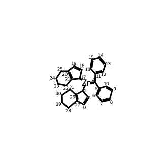 C1=C[CH]([Zr](=[C](c2ccccc2)c2ccccc2)[CH]2C=CC3=C2CCCC3)C2=C1CCCC2